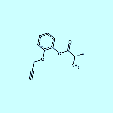 C#CCOc1ccccc1OC(=O)[C@H](C)N